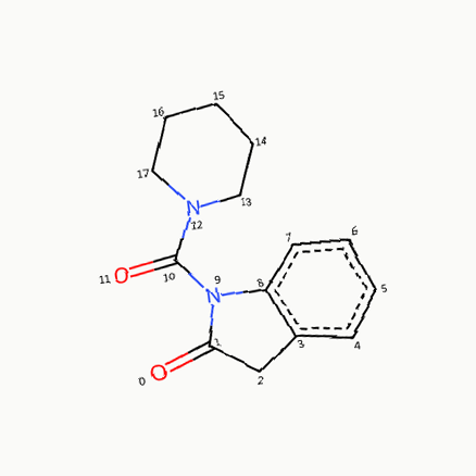 O=C1Cc2ccccc2N1C(=O)N1CCCCC1